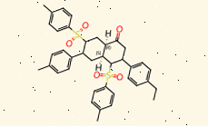 CCc1ccc(C2CC(=O)[C@@H]3CC(S(=O)(=O)c4ccc(C)cc4)C(c4ccc(C)cc4)C[C@@H]3C2S(=O)(=O)c2ccc(C)cc2)cc1